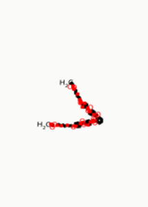 C=CC(=O)OCCCCCCCCOc1ccc(C(=O)Oc2ccc(C(=O)O[C@@H]3CCCC[C@H]3OC(=O)c3ccc(OC(=O)c4ccc(OCCCCCCCCOC(=O)C=C)cc4)cc3)cc2)cc1